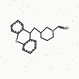 N=CN1CCCC(CC2c3ccccc3Sc3ccccc32)C1